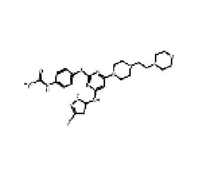 CC(=O)Nc1ccc(Sc2nc(NC3CC(C)=NN3)cc(N3CCN(CCN4CCOCC4)CC3)n2)cc1